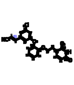 N#C/C=C/c1cc(Cl)cc(Oc2ccccc2OCCn2ccc(=O)[nH]c2=O)c1